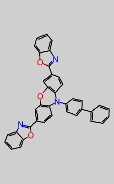 c1ccc(-c2ccc(N3c4ccc(-c5nc6ccccc6o5)cc4Oc4cc(-c5nc6ccccc6o5)ccc43)cc2)cc1